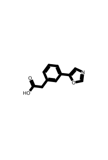 O=C(O)Cc1cccc(-c2cnco2)c1